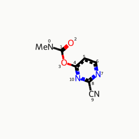 CNC(=O)Oc1ccnc(C#N)n1